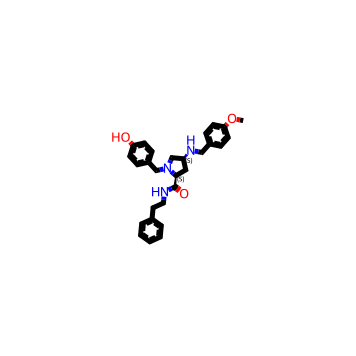 COc1ccc(CN[C@H]2C[C@@H](C(=O)NCCc3ccccc3)N(Cc3ccc(O)cc3)C2)cc1